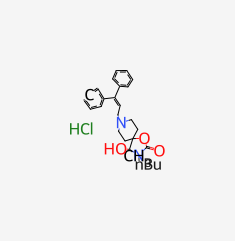 CCCCN1C(=O)OC2(CCN(CC=C(c3ccccc3)c3ccccc3)CC2)C1(C)O.Cl